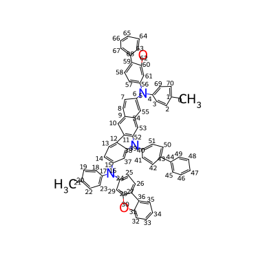 Cc1ccc(N(c2ccc3cc4c5ccc(N(c6ccc(C)cc6)c6ccc7c(c6)oc6ccccc67)cc5n(-c5ccc(-c6ccccc6)cc5)c4cc3c2)c2ccc3c(c2)oc2ccccc23)cc1